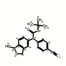 [C-]#[N+]c1ccc(N(C(=O)OC(C)(C)C)c2ccc3c(c2)COB3O)cc1